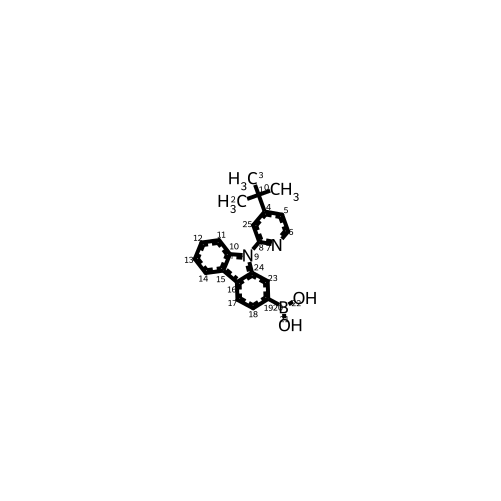 CC(C)(C)c1ccnc(-n2c3ccccc3c3ccc(B(O)O)cc32)c1